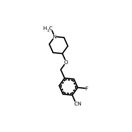 CN1CCC(OCc2ccc(C#N)c(F)c2)CC1